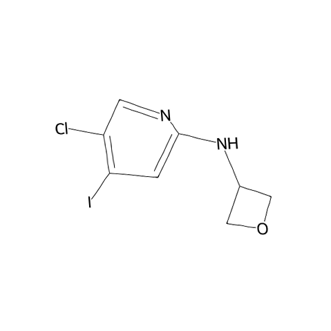 Clc1cnc(NC2COC2)cc1I